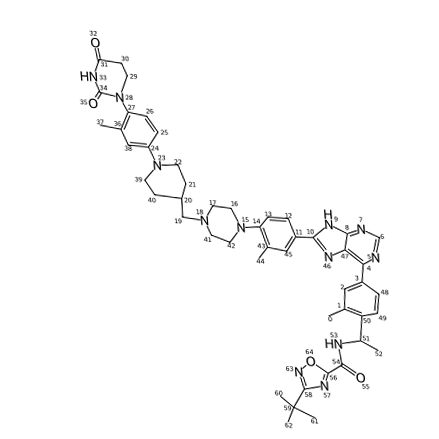 Cc1cc(-c2ncnc3[nH]c(-c4ccc(N5CCN(CC6CCN(c7ccc(N8CCC(=O)NC8=O)c(C)c7)CC6)CC5)c(C)c4)nc23)ccc1C(C)NC(=O)c1nc(C(C)(C)C)no1